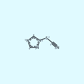 N#CSn1cncn1